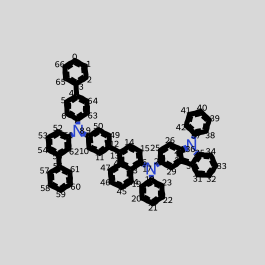 c1ccc(-c2ccc(N(c3ccc(-c4ccc(N(c5ccccc5)c5ccc6c(c5)c5ccccc5n6-c5ccccc5)c5ccccc45)cc3)c3cccc(-c4ccccc4)c3)cc2)cc1